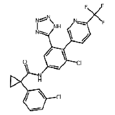 O=C(Nc1cc(Cl)c(-c2ccc(C(F)(F)F)nc2)c(-c2nnn[nH]2)c1)C1(c2cccc(Cl)c2)CC1